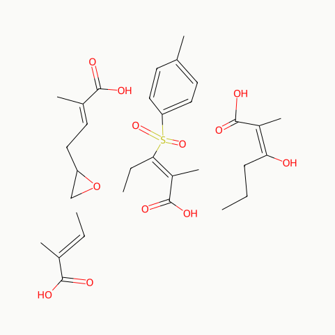 C/C(=C\CC1CO1)C(=O)O.C/C=C(\C)C(=O)O.CC/C(=C(/C)C(=O)O)S(=O)(=O)c1ccc(C)cc1.CCC/C(O)=C(/C)C(=O)O